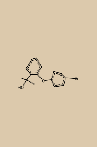 CC(C)(O)c1ccccc1Oc1ccc(Br)cc1